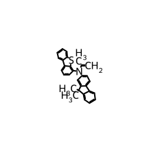 C=C(C)N(c1ccc2c(c1)C(C)(C)c1ccccc1-2)c1cccc2c1sc1ccccc12